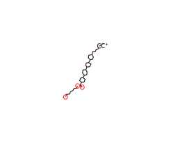 [CH2+][CH-]CCCCC1CCC(C2CCC(C3CCC(C4CCC(C(=O)OCCCCCCOC)CC4)CC3)CC2)CC1